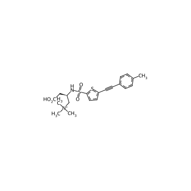 Cc1ccc(C#Cc2ccc(S(=O)(=O)N[C@H](CC(=O)O)C[N+](C)(C)C)s2)cc1